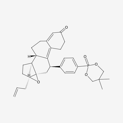 C=CC[C@]12CC[C@H]3[C@@H]4CCC5=CC(=O)CCC5=C4[C@@H](c4ccc(P5(=O)OCC(C)(C)CO5)cc4)C[C@@]31O2